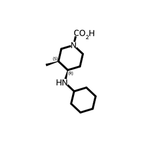 C[C@H]1CN(C(=O)O)CC[C@H]1NC1CCCCC1